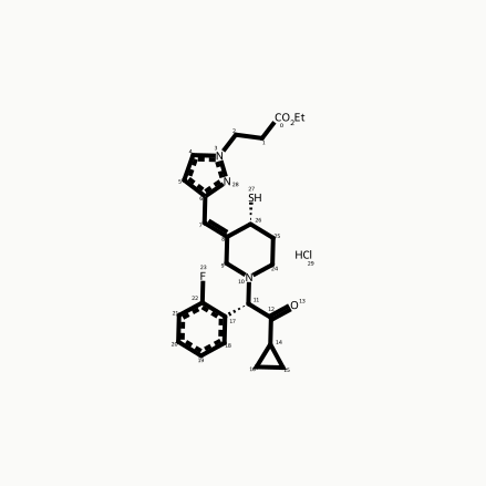 CCOC(=O)CCn1ccc(C=C2CN([C@H](C(=O)C3CC3)c3ccccc3F)CC[C@H]2S)n1.Cl